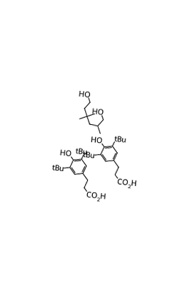 CC(C)(C)c1cc(CCC(=O)O)cc(C(C)(C)C)c1O.CC(C)(C)c1cc(CCC(=O)O)cc(C(C)(C)C)c1O.CC(CO)CC(C)(C)CCO